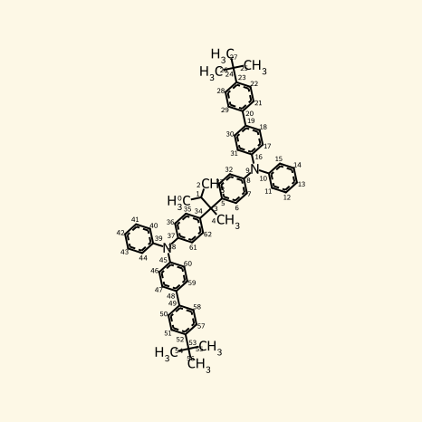 CC(C)C(C)(c1ccc(N(c2ccccc2)c2ccc(-c3ccc(C(C)(C)C)cc3)cc2)cc1)c1ccc(N(c2ccccc2)c2ccc(-c3ccc(C(C)(C)C)cc3)cc2)cc1